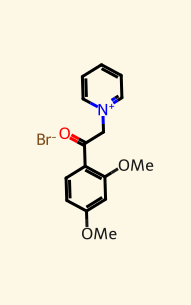 COc1ccc(C(=O)C[n+]2ccccc2)c(OC)c1.[Br-]